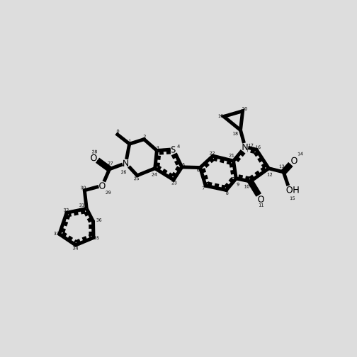 CC1Cc2sc(-c3ccc4c(=O)c(C(=O)O)cn(C5CC5)c4c3)cc2CN1C(=O)OCc1ccccc1